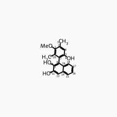 COc1c(C)cc(O)c(-c2c(O)c(O)cc3ccccc23)c1C